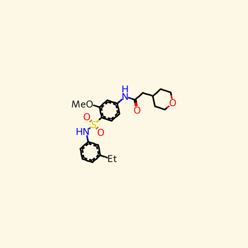 CCc1cccc(NS(=O)(=O)c2ccc(NC(=O)CC3CCOCC3)cc2OC)c1